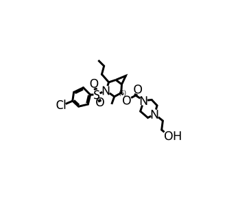 CCCC1C2CC2[C@H](OC(=O)N2CCN(CCO)CC2)C(C)N1S(=O)(=O)c1ccc(Cl)cc1